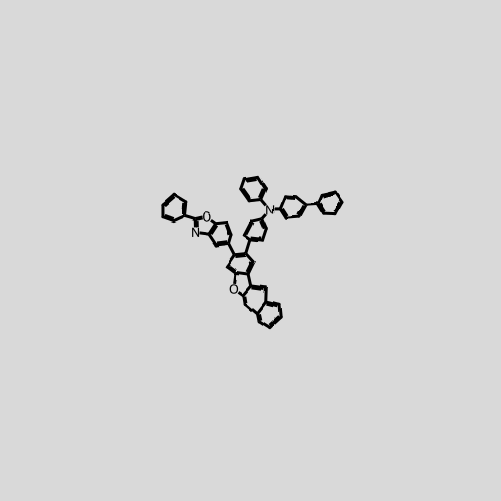 c1ccc(-c2ccc(N(c3ccccc3)c3ccc(-c4cc5c(cc4-c4ccc6oc(-c7ccccc7)nc6c4)oc4cc6ccccc6cc45)cc3)cc2)cc1